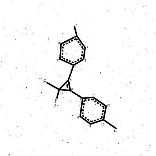 Cc1ccc(C2=C(c3ccc(C)cc3)C2(F)F)cc1